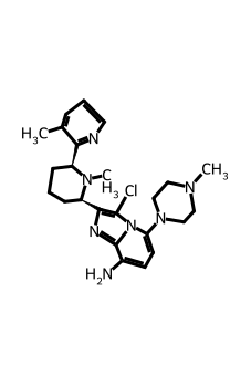 Cc1cccnc1[C@@H]1CCC[C@H](c2nc3c(N)ccc(N4CCN(C)CC4)n3c2Cl)N1C